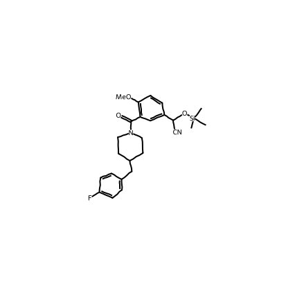 COc1ccc(C(C#N)O[Si](C)(C)C)cc1C(=O)N1CCC(Cc2ccc(F)cc2)CC1